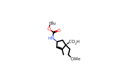 COCC[C@@]1(C(=O)O)C[C@H](NC(=O)OC(C)(C)C)C=C1C